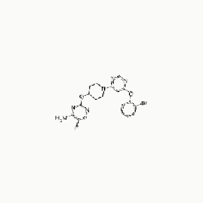 Nc1nc(OC2CCN(c3cc(Oc4ccccc4Br)ncn3)CC2)ncc1F